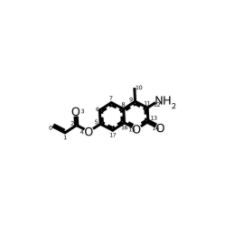 C=CC(=O)Oc1ccc2c(C)c(N)c(=O)oc2c1